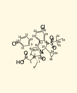 CC[C@]1(CC(=O)O)C[C@H](c2cccc(Cl)c2)[C@@H](c2ccc(Cl)cc2)N(C(CS(=O)(=O)C(C)(C)C)C2CC2)C1=O